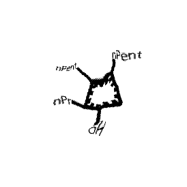 CCCCCc1ccc(O)c(CCC)c1CCCCC